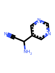 N#CC(N)c1cncnc1